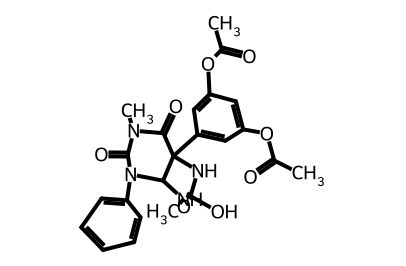 CNC1N(c2ccccc2)C(=O)N(C)C(=O)C1(NC(=O)O)c1cc(OC(C)=O)cc(OC(C)=O)c1